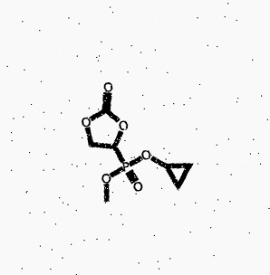 COP(=O)(OC1CC1)C1COC(=O)O1